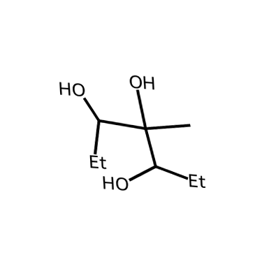 CCC(O)C(C)(O)C(O)CC